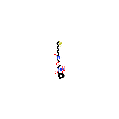 O=C(CCCCC1CCSS1)NCCOCCNC(=O)c1ccccc1O